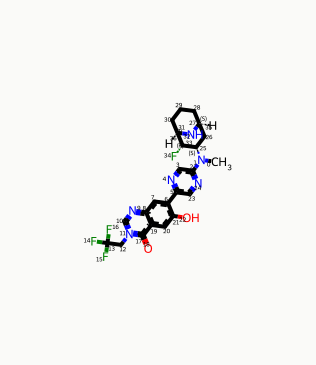 CN(c1cnc(-c2cc3ncn(CC(F)(F)F)c(=O)c3cc2O)cn1)[C@H]1C[C@@H]2CCC[C@@H](N2)[C@H]1F